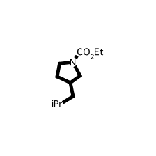 CCOC(=O)N1CCC(CC(C)C)C1